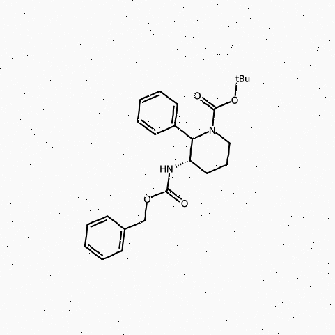 CC(C)(C)OC(=O)N1CCC[C@H](NC(=O)OCc2ccccc2)C1c1ccccc1